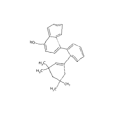 CC1(C)C=C(c2ccccc2-c2ccc(O)c3ccccc23)CC(C)(C)C1